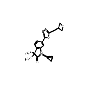 CC1(C)C(=O)N(C2CC2)c2cc(-c3nnc(C4COC4)o3)ccc21